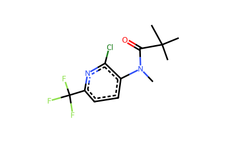 CN(C(=O)C(C)(C)C)c1ccc(C(F)(F)F)nc1Cl